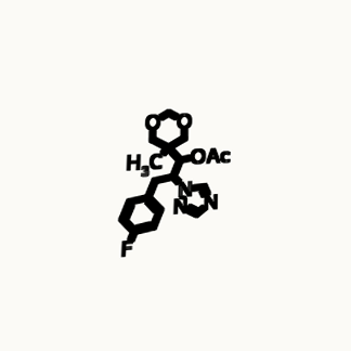 CC(=O)OC(C(Cc1ccc(F)cc1)n1cncn1)C1(C)COCOC1